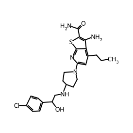 CCCc1cc(N2CCC(NCC(O)c3ccc(Cl)cc3)CC2)nc2sc(C(N)=O)c(N)c12